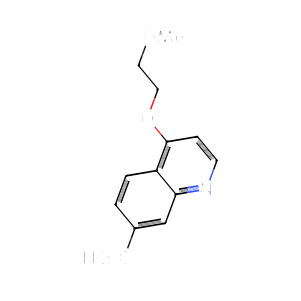 COCCOc1ccnc2cc(C(=O)O)ccc12